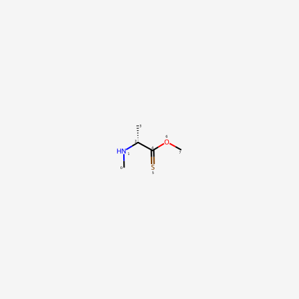 CN[C@H](C)C(=S)OC